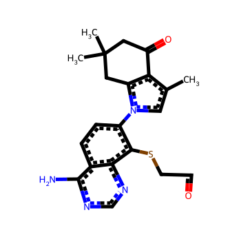 Cc1cn(-c2ccc3c(N)ncnc3c2SCC=O)c2c1C(=O)CC(C)(C)C2